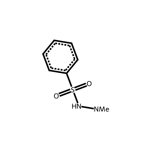 CNNS(=O)(=O)c1ccccc1